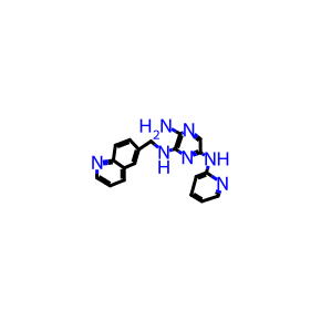 Nc1ncc(Nc2ccccn2)nc1NCc1ccc2ncccc2c1